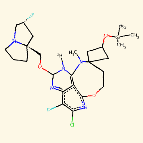 [2H]N1C2=c3c(nc(Cl)c(F)c3=NC1OC[C@@]13CCCN1C[C@H](F)C3)OCCC1(CC(O[Si](C)(C)C(C)(C)C)C1)N2C